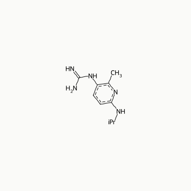 Cc1nc(NC(C)C)ccc1NC(=N)N